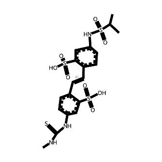 CNC(=S)Nc1ccc(/C=C/c2ccc(NS(=O)(=O)C(C)C)cc2S(=O)(=O)O)c(S(=O)(=O)O)c1